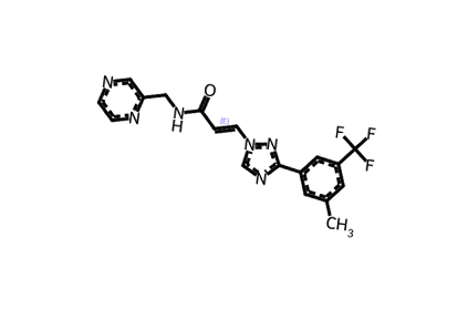 Cc1cc(-c2ncn(/C=C/C(=O)NCc3cnccn3)n2)cc(C(F)(F)F)c1